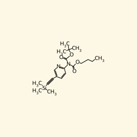 CCCCOC(=O)N(C(=O)OC(C)(C)C)c1ccc(C#C[Si](C)(C)C)cn1